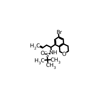 C=CCC(N[S+]([O-])C(C)(C)C)c1cc(Br)cc2c1COCC2